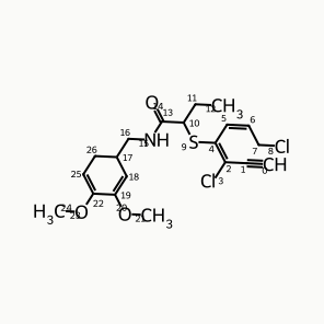 C#C/C(Cl)=C(\C=C/CCl)SC(CC)C(=O)NCC1C=C(OC)C(OC)=CC1